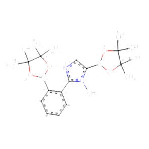 Cn1c(B2OC(C)(C)C(C)(C)O2)cnc1-c1ccccc1B1OC(C)(C)C(C)(C)O1